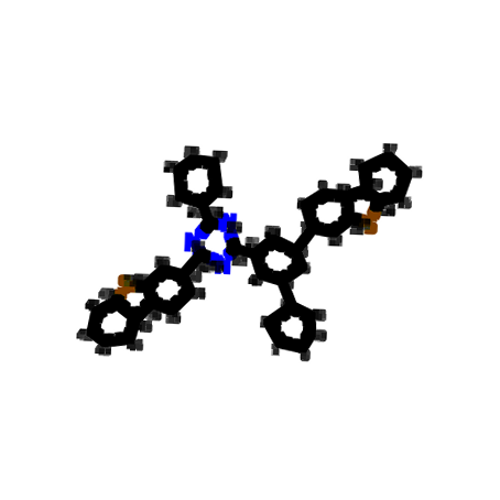 c1ccc(-c2cc(-c3ccc4c(c3)sc3ccccc34)cc(-c3nc(-c4ccccc4)nc(-c4ccc5c(c4)sc4ccccc45)n3)c2)cc1